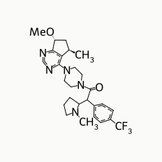 CO[C@@H]1C[C@@H](C)c2c1ncnc2N1CCN(C(=O)C(c2ccc(C(F)(F)F)cc2)C2CCCN2C)CC1